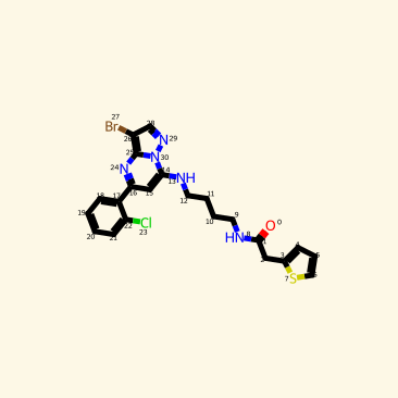 O=C(Cc1cccs1)NCCCCNc1cc(-c2ccccc2Cl)nc2c(Br)cnn12